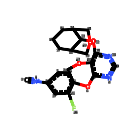 [C-]#[N+]c1ccc(Oc2ncnc(OC3C4CCCC3COC4)c2OC)c(F)c1